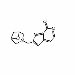 O=C1N=CC=C2C=C(CN3CC4CC(C3)O4)N=C12